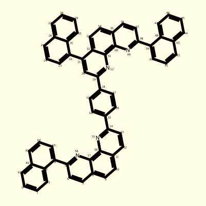 c1ccc2c(-c3ccc4ccc5ccc(-c6ccc(-c7cc(-c8cccc9ccccc89)c8ccc9ccc(-c%10cccc%11ccccc%10%11)nc9c8n7)cc6)nc5c4n3)cccc2c1